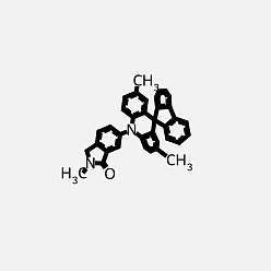 Cc1ccc2c(c1)C1(c3ccccc3-c3ccccc31)c1cc(C)ccc1N2c1ccc2c(c1)C(=O)N(C)C2